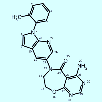 Cc1ccccc1-n1ccc2cc(N3CCOc4ncnc(N)c4C3=O)cnc21